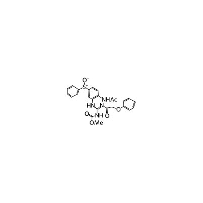 COC(=O)N/C(=N\C(=O)COc1ccccc1)Nc1cc([S+]([O-])c2ccccc2)ccc1NC(C)=O